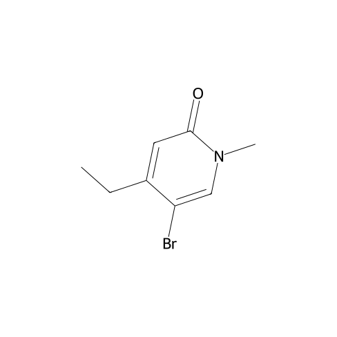 CCc1cc(=O)n(C)cc1Br